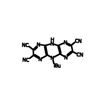 CCC(C)N1c2nc(C#N)c(C#N)nc2Nc2nc(C#N)c(C#N)nc21